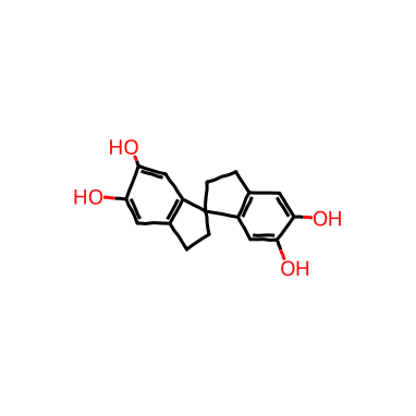 Oc1cc2c(cc1O)C1(CC2)CCc2cc(O)c(O)cc21